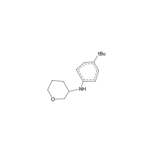 CC(C)(C)c1ccc(NC2CCCOC2)cc1